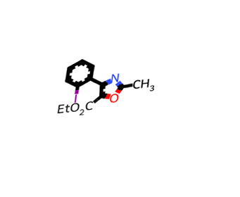 CCOC(=O)c1oc(C)nc1-c1ccccc1I